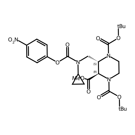 COC(=O)[C@H]1[C@H](CN(C(=O)Oc2ccc([N+](=O)[O-])cc2)C2CC2)N(C(=O)OC(C)(C)C)CCN1C(=O)OC(C)(C)C